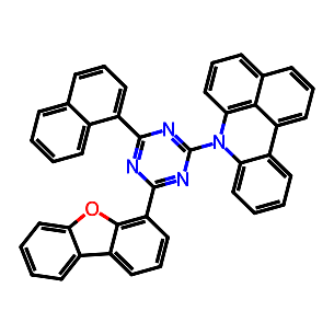 c1ccc2c(c1)-c1cccc3cccc(c13)N2c1nc(-c2cccc3ccccc23)nc(-c2cccc3c2oc2ccccc23)n1